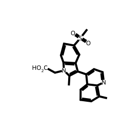 Cc1cccc2c(-c3c(C)n(CC(=O)O)c4ccc(S(C)(=O)=O)cc34)ccnc12